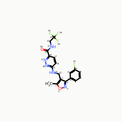 Cc1onc(-c2cccc(F)c2)c1CNc1ccc(C(=O)NCC(F)(F)F)nn1